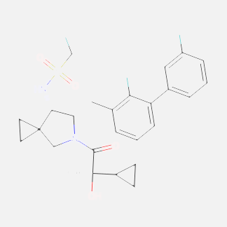 C[C@](O)(C(=O)N1CC2(CC2)[C@H](NS(=O)(=O)CF)[C@@H]1Cc1cccc(-c2cccc(F)c2)c1F)C1CC1